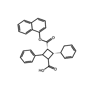 O=C(O)C1C(c2ccccc2)[C@H](C(=O)Oc2cccc3ccccc23)[C@@H]1C1C=CC=CC1